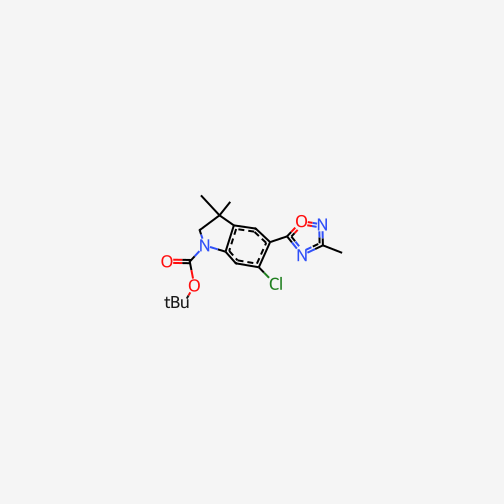 Cc1noc(-c2cc3c(cc2Cl)N(C(=O)OC(C)(C)C)CC3(C)C)n1